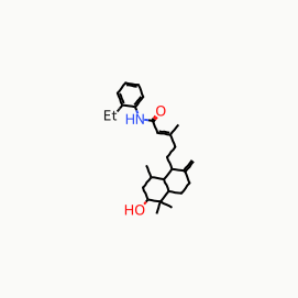 C=C1CCC2C(C(C)CC(O)C2(C)C)C1CCC(C)=CC(=O)Nc1ccccc1CC